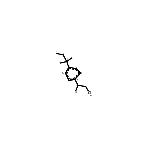 CCC(C)(C)c1ccc(C(C)CCl)cc1